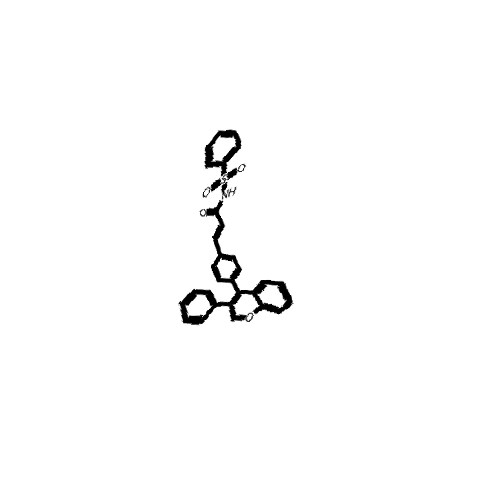 O=C(C=Cc1ccc(C2=C(c3ccccc3)COc3ccccc32)cc1)NS(=O)(=O)c1ccccc1